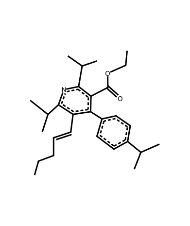 CCCC=Cc1c(C(C)C)nc(C(C)C)c(C(=O)OCC)c1-c1ccc(C(C)C)cc1